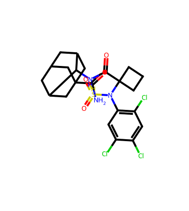 NC(=O)C12CC3CC(C1)C(NC(=O)C1(N(c4cc(Cl)c(Cl)cc4Cl)[SH](=O)=O)CCC1)C(C3)C2